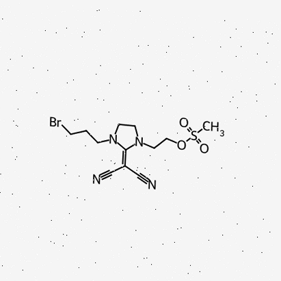 CS(=O)(=O)OCCN1CCN(CCCBr)C1=C(C#N)C#N